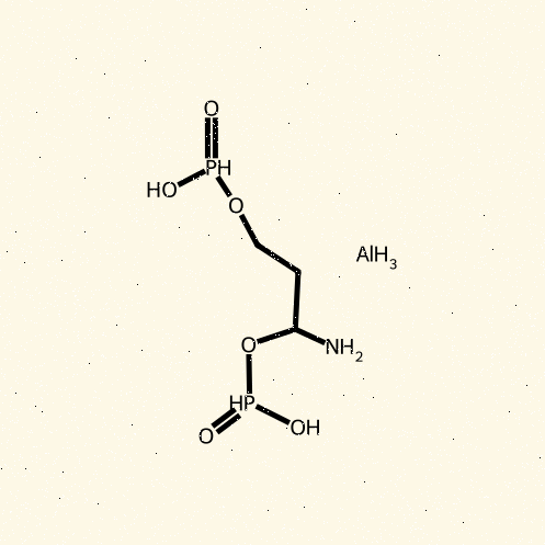 NC(CCO[PH](=O)O)O[PH](=O)O.[AlH3]